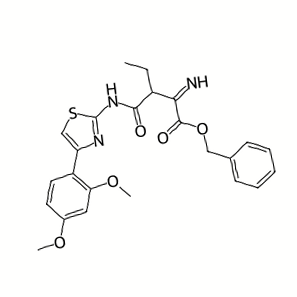 CCC(C(=N)C(=O)OCc1ccccc1)C(=O)Nc1nc(-c2ccc(OC)cc2OC)cs1